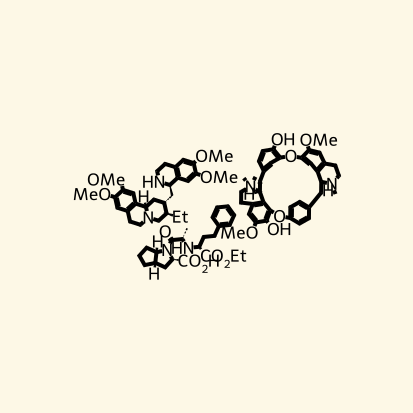 CCOC(=O)[C@H](CCc1ccccc1)N[C@@H](C)C(=O)N1[C@H](C(=O)O)C[C@@H]2CCC[C@@H]21.CC[C@H]1CN2CCc3cc(OC)c(OC)cc3[C@@H]2C[C@@H]1C[C@H]1NCCc2cc(OC)c(OC)cc21.COc1cc2c3cc1Oc1cc(ccc1O)C[C@@H]1c4c(cc(OC)c(O)c4Oc4ccc(cc4)C[C@@H]3N(C)CC2)CC[N+]1(C)C